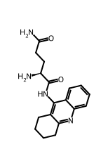 NC(=O)CC[C@H](N)C(=O)Nc1c2c(nc3ccccc13)CCCC2